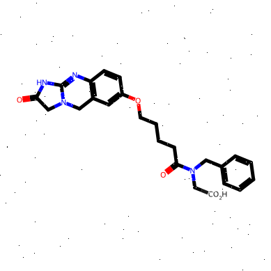 O=C(O)CN(Cc1ccccc1)C(=O)CCCCOc1ccc2c(c1)CN1CC(=O)NC1=N2